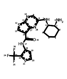 N[C@H]1CCCC[C@H]1Nc1cnc2scc(C(=O)Nc3ccsc3C(F)(F)F)c2n1